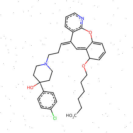 O=C(O)CCCCCOC1C=CC=C2Oc3ncccc3C(=CCCN3CCC(O)(c4ccc(Cl)cc4)CC3)C=C21